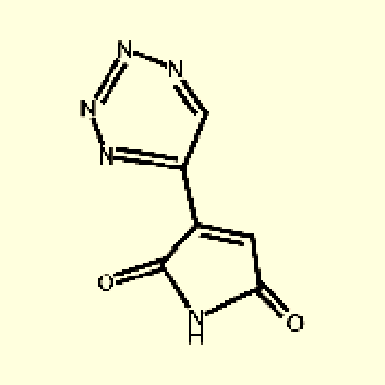 O=C1C=C(c2cnnnn2)C(=O)N1